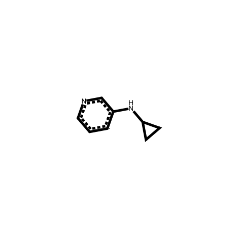 [c]1ccncc1NC1CC1